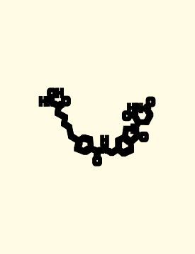 O=C(CCCCCc1ccc(C(=O)NCc2ccc3c(c2)CN(C2CCC(=O)NC2=O)C3=O)cc1)NO